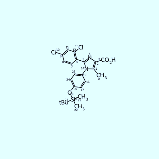 Cc1c(C(=O)O)nc(-c2ccc(Cl)cc2Cl)n1-c1ccc(O[Si](C)(C)C(C)(C)C)cc1